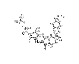 CCN(CC)CCNC(=O)c1c(C)[nH]c(/C=C2\C(=O)Nc3ccc(S(=O)(=O)Cc4ccc(OC(F)(F)F)cc4)cc32)c1C